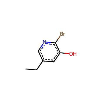 CCc1cnc(Br)c(O)c1